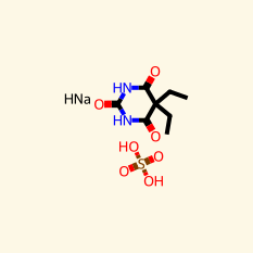 CCC1(CC)C(=O)NC(=O)NC1=O.O=S(=O)(O)O.[NaH]